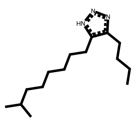 CCCCc1nn[nH]c1CCCCCCC(C)C